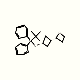 CC(C)(C)[Si](O[C@H]1C[C@@H](C2CCO2)C1)(c1ccccc1)c1ccccc1